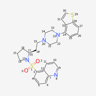 O=S(=O)(c1cccc2ncccc12)N1CCC[C@H]1CCN1CCN(c2cccc3sccc23)CC1